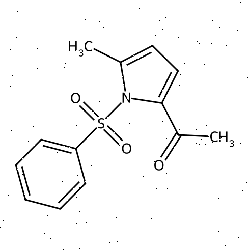 CC(=O)c1ccc(C)n1S(=O)(=O)c1ccccc1